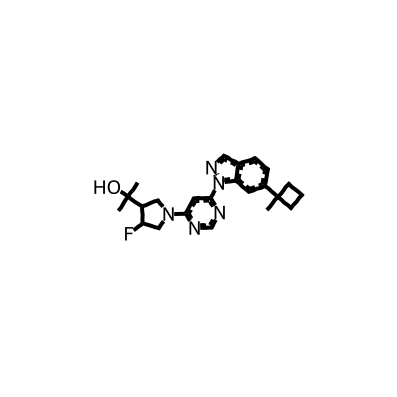 CC1(c2ccc3cnn(-c4cc(N5CC(F)C(C(C)(C)O)C5)ncn4)c3c2)CCC1